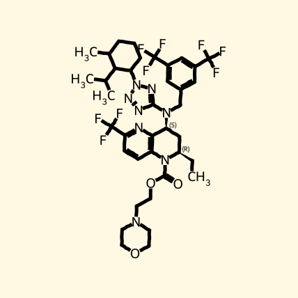 CC[C@@H]1C[C@H](N(Cc2cc(C(F)(F)F)cc(C(F)(F)F)c2)c2nnn(C3CCCC(C)C3C(C)C)n2)c2nc(C(F)(F)F)ccc2N1C(=O)OCCN1CCOCC1